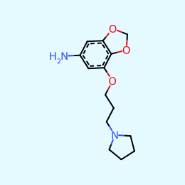 Nc1cc(OCCCN2CCCC2)c2c(c1)OCO2